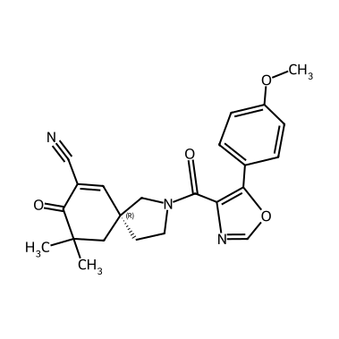 COc1ccc(-c2ocnc2C(=O)N2CC[C@]3(C=C(C#N)C(=O)C(C)(C)C3)C2)cc1